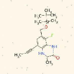 CC#Cc1cc(CO[Si](C)(C)C(C)(C)C)c(F)c2c1NC(C)C(=O)N2